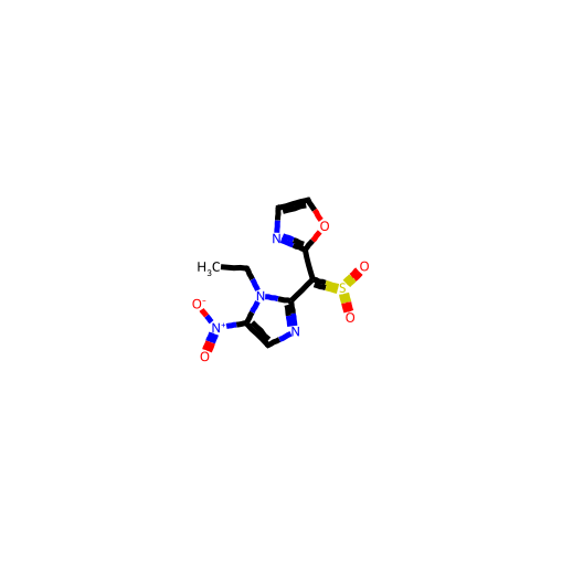 CCn1c([N+](=O)[O-])cnc1C(c1ncco1)=S(=O)=O